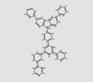 c1ccc(-c2ccc3c(c2)c2cc(-c4ccccc4)ccc2n3-c2ccc(-c3cc(-c4cccc(-c5ccccn5)c4)nc(-c4ccccc4)n3)cc2)cc1